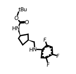 CC(C)(C)OC(=O)N[C@@H]1CC[C@H](CNc2cc(F)c(F)cc2F)C1